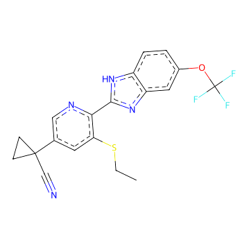 CCSc1cc(C2(C#N)CC2)cnc1-c1nc2cc(OC(F)(F)F)ccc2[nH]1